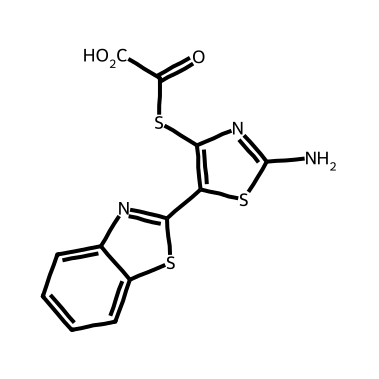 Nc1nc(SC(=O)C(=O)O)c(-c2nc3ccccc3s2)s1